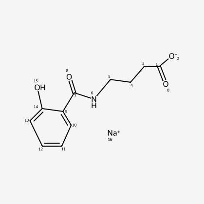 O=C([O-])CCCNC(=O)c1ccccc1O.[Na+]